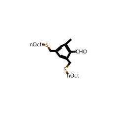 CCCCCCCCSCc1cc(C)c(C=O)c(CSCCCCCCCC)c1